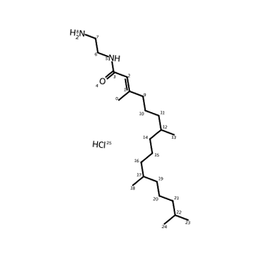 C/C(=C\C(=O)NCCN)CCCC(C)CCCC(C)CCCC(C)C.Cl